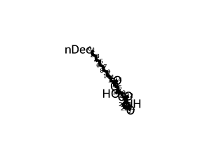 CCCCCCCCCCCCCCCCCCCCCCC(=O)OCC(O)COC(=O)C1CCC(=O)N1